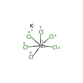 [Cl][Rh]([Cl])([Cl])([Cl])([Cl])[Cl].[K]